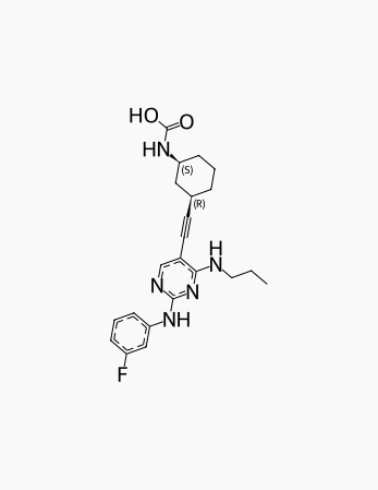 CCCNc1nc(Nc2cccc(F)c2)ncc1C#C[C@@H]1CCC[C@H](NC(=O)O)C1